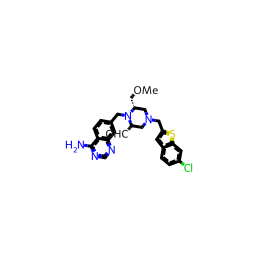 COC[C@@H]1CN(Cc2cc3ccc(Cl)cc3s2)CC(C=O)N1Cc1ccc2c(N)ncnc2c1